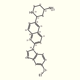 CCOc1ccc2c(c1)ncn2-c1ccc2cc(C3CC(N)CCN3)ccc2n1